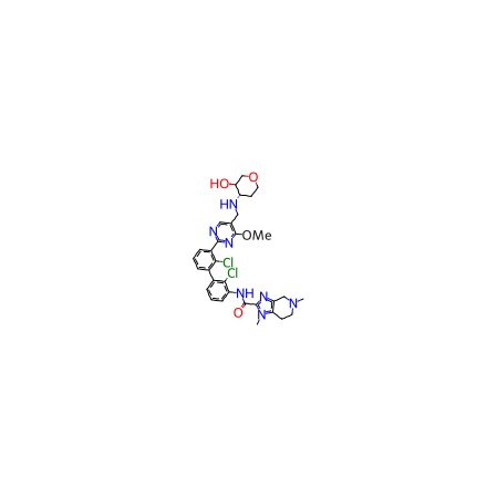 COc1nc(-c2cccc(-c3cccc(NC(=O)c4nc5c(n4C)CCN(C)C5)c3Cl)c2Cl)ncc1CN[C@H]1CCOC[C@@H]1O